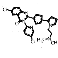 CN(C)CCn1cccc1-c1ccc(-c2nc3ccc(Cl)cc3c(=O)n2-c2ccc(Cl)cn2)cc1